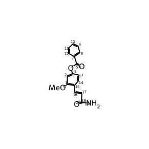 COc1cc(OC(=O)c2ccccc2)ccc1C=CC(N)=O